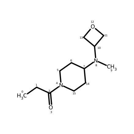 CCC(=O)N1CCC(N(C)C2COC2)CC1